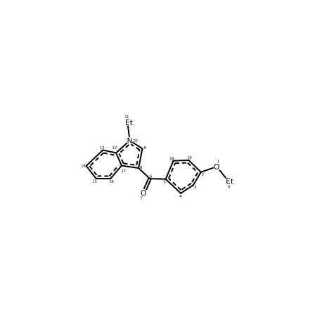 CCOc1ccc(C(=O)c2cn(CC)c3ccccc23)cc1